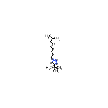 CC(C)CCCCCCCn1cc(C(C)(C)C)nn1